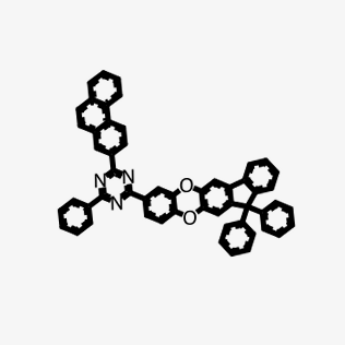 c1ccc(-c2nc(-c3ccc4c(c3)Oc3cc5c(cc3O4)C(c3ccccc3)(c3ccccc3)c3ccccc3-5)nc(-c3ccc4c(ccc5ccccc54)c3)n2)cc1